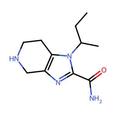 CCC(C)n1c(C(N)=O)nc2c1CCNC2